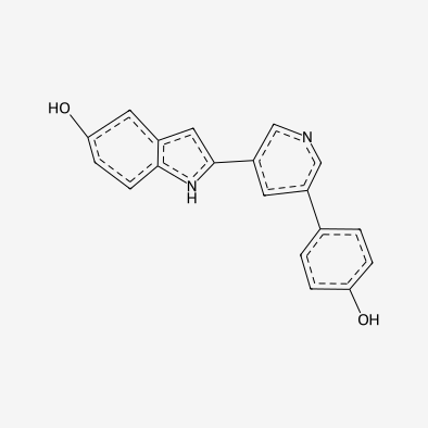 Oc1ccc(-c2cncc(-c3cc4cc(O)ccc4[nH]3)c2)cc1